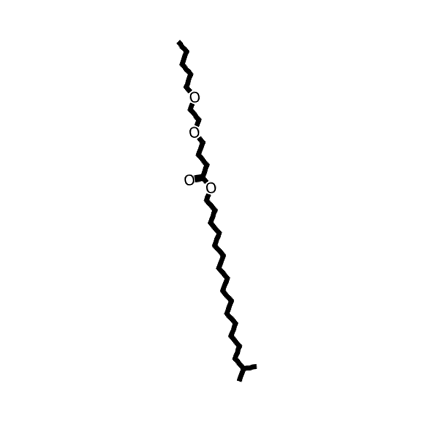 CCCCCOCCOCCCC(=O)OCCCCCCCCCCCCCCCC(C)C